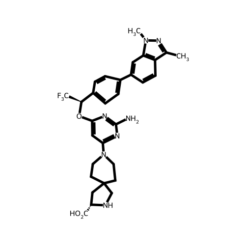 Cc1nn(C)c2cc(-c3ccc([C@@H](Oc4cc(N5CCC6(CC5)CN[C@H](C(=O)O)C6)nc(N)n4)C(F)(F)F)cc3)ccc12